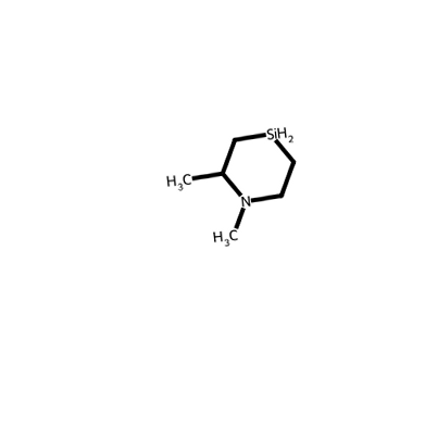 CC1C[SiH2]CCN1C